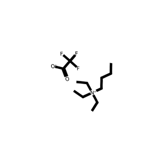 CCCC[N+](CC)(CC)CC.O=C([O-])C(F)(F)F